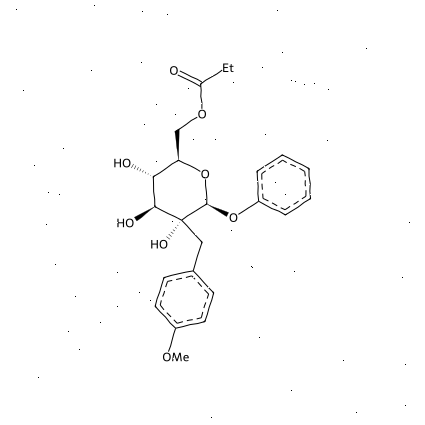 CCC(=O)OC[C@H]1O[C@@H](Oc2ccccc2)[C@@](O)(Cc2ccc(OC)cc2)[C@@H](O)[C@@H]1O